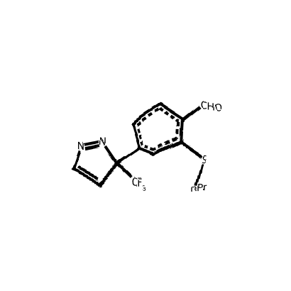 CCCSc1cc(C2(C(F)(F)F)C=CN=N2)ccc1C=O